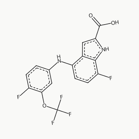 O=C(O)c1cc2c(Nc3ccc(F)c(OC(F)(F)F)c3)ccc(F)c2[nH]1